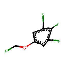 FCOc1cc(F)c(F)c(F)c1